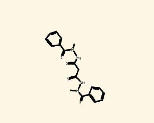 CN(NC(=S)CC(=S)NN(C)C(=S)c1ccccc1)C(=S)c1ccccc1